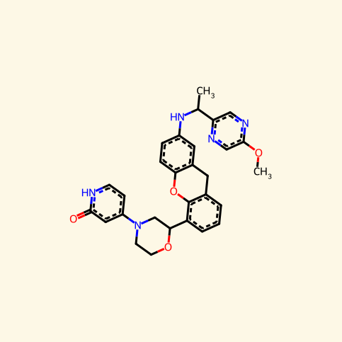 COc1cnc(C(C)Nc2ccc3c(c2)Cc2cccc(C4CN(c5cc[nH]c(=O)c5)CCO4)c2O3)cn1